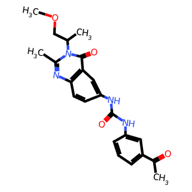 COCC(C)n1c(C)nc2ccc(NC(=O)Nc3cccc(C(C)=O)c3)cc2c1=O